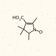 CC1=C(C(=O)O)C(C)(C)C(C)N1[O]